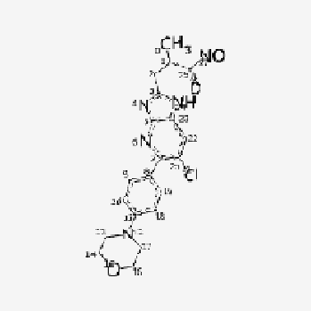 CC(Cc1nc2nc(-c3ccc(N4CCOCC4)cc3)c(Cl)cc2[nH]1)C(=O)N=O